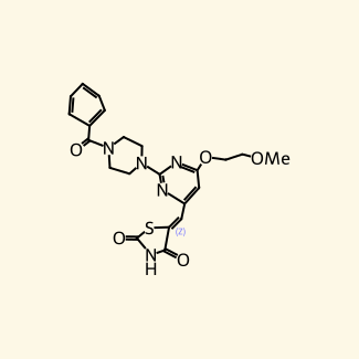 COCCOc1cc(/C=C2\SC(=O)NC2=O)nc(N2CCN(C(=O)c3ccccc3)CC2)n1